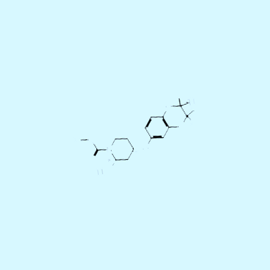 [2H]C1([2H])Oc2ccc(O[C@H]3CCN(C(=O)OC(C)(C)C)[C@H](C)C3)cc2OC1([2H])[2H]